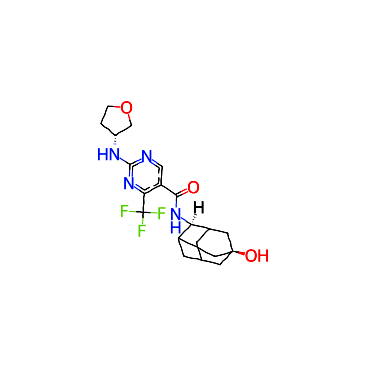 O=C(N[C@H]1C2CC3CC1C[C@@](O)(C3)C2)c1cnc(N[C@@H]2CCOC2)nc1C(F)(F)F